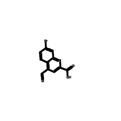 O=Cc1cc(C(=O)O)nc2cc(Br)ccc12